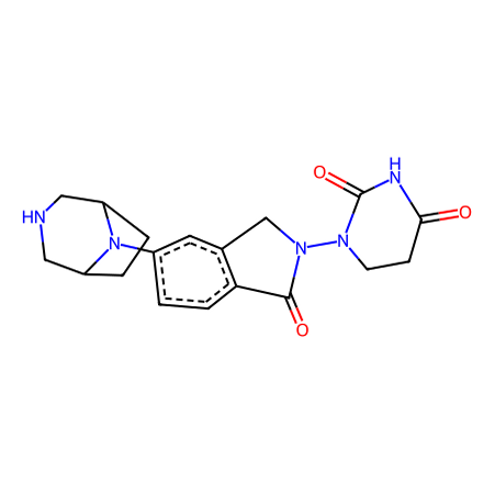 O=C1CCN(N2Cc3cc(N4C5CCC4CNC5)ccc3C2=O)C(=O)N1